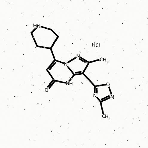 Cc1noc(-c2c(C)nn3c(C4CCNCC4)cc(=O)[nH]c23)n1.Cl